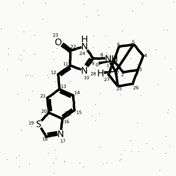 C[C@]12CC3CC(C1)[C@@H](NC1=N/C(=C\c4ccc5ncsc5c4)C(=O)N1)C(C3)C2